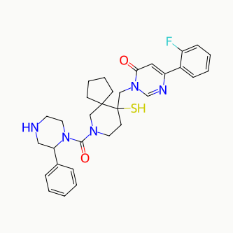 O=C(N1CCC(S)(Cn2cnc(-c3ccccc3F)cc2=O)C2(CCCC2)C1)N1CCNCC1c1ccccc1